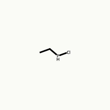 CCPCl